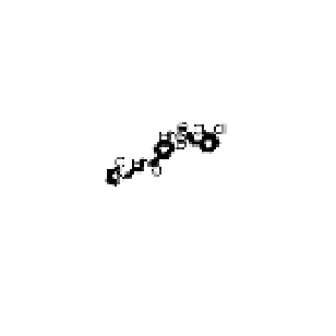 O=C(NCCCN1CCCC1=O)c1ccc(NS(=O)(=O)CCc2cccc(Cl)c2Cl)cc1